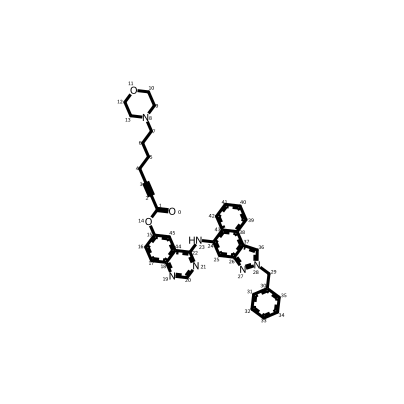 O=C(C#CCCCCN1CCOCC1)Oc1ccc2ncnc(Nc3cc4nn(Cc5ccccc5)cc4c4ccccc34)c2c1